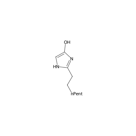 CCCCCCCc1nc(O)c[nH]1